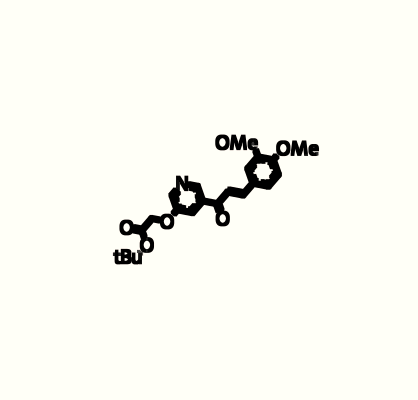 COc1ccc(C=CC(=O)c2cncc(OCC(=O)OC(C)(C)C)c2)cc1OC